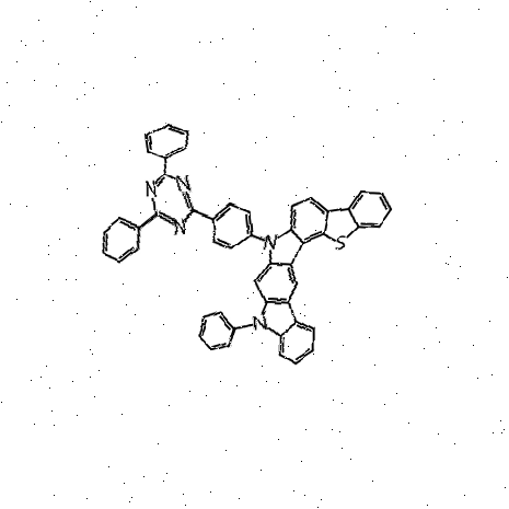 c1ccc(-c2nc(-c3ccccc3)nc(-c3ccc(-n4c5cc6c(cc5c5c7sc8ccccc8c7ccc54)c4ccccc4n6-c4ccccc4)cc3)n2)cc1